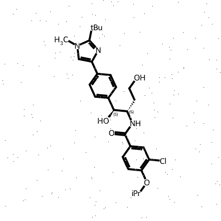 CC(C)Oc1ccc(C(=O)N[C@@H](CCO)[C@@H](O)c2ccc(-c3cn(C)c(C(C)(C)C)n3)cc2)cc1Cl